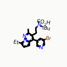 CCc1ccc2c(-c3cncc(Br)c3)c(CCN(C(=O)O)C(C)(C)C)c(C)nn12